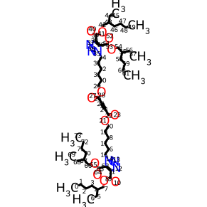 CCCCC(CC)COC(=O)c1nnn(CCCCCCOC(=O)C#CC(=O)OCCCCCCn2nnc(C(=O)OCC(CC)CCCC)c2C(=O)OCC(CC)CCCC)c1C(=O)OCC(CC)CCCC